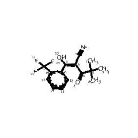 CC(C)(C)C(=O)C(C#N)=C(O)c1ccccc1C(F)(F)F